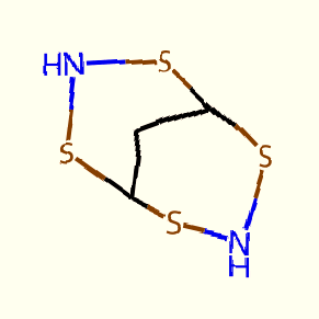 C1C2SNSC1SNS2